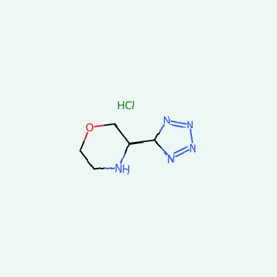 C1COCC(C2N=NN=N2)N1.Cl